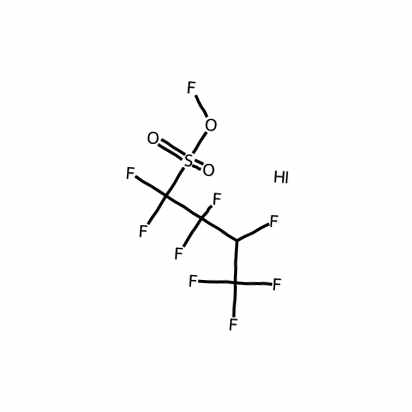 I.O=S(=O)(OF)C(F)(F)C(F)(F)C(F)C(F)(F)F